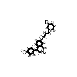 COc1ccc(C2CN(C)Cc3cc(OCCCN4CCCC(F)C4)ccc32)cc1